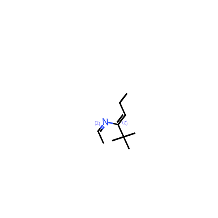 C/C=N\C(=C/CC)C(C)(C)C